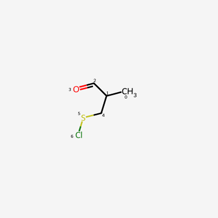 CC(C=O)CSCl